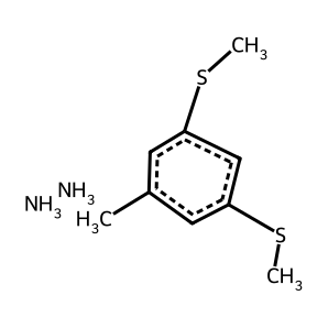 CSc1cc(C)cc(SC)c1.N.N